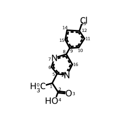 CC(C(=O)O)c1cnc(-c2ccc(Cl)cc2)cn1